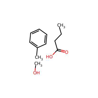 CCCC(=O)O.CO.Cc1ccccc1